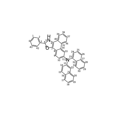 c1ccc(C2Nc3c(c4ccc(N(c5ccc6ccccc6c5)c5cccc6ccccc56)cc4c4ccccc34)O2)cc1